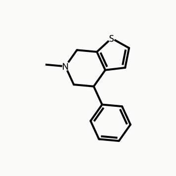 CN1Cc2sccc2C(c2ccccc2)C1